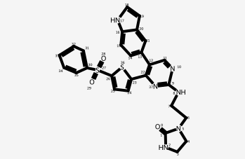 O=C1NCCN1CCNc1ncc(-c2ccc3[nH]ccc3c2)c(-c2ccc(S(=O)(=O)c3ccccc3)s2)n1